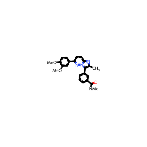 CNC(=O)c1cccc(-c2c(C)nc3ccc(-c4ccc(OC)c(OC)c4)nn23)c1